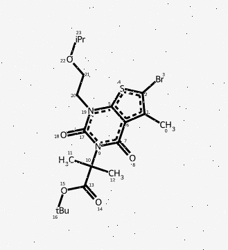 Cc1c(Br)sc2c1c(=O)n(C(C)(C)C(=O)OC(C)(C)C)c(=O)n2CCOC(C)C